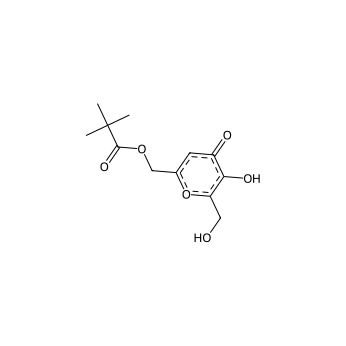 CC(C)(C)C(=O)OCc1cc(=O)c(O)c(CO)o1